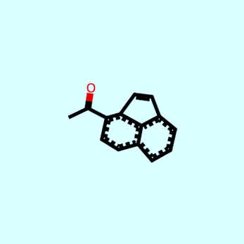 CC(=O)c1ccc2cccc3c2c1C=C3